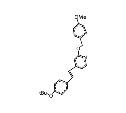 COc1ccc(COc2cc(/C=C/c3ccc(OC(C)(C)C)cc3)ccn2)cc1